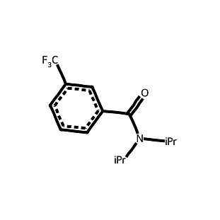 CC(C)N(C(=O)c1cccc(C(F)(F)F)c1)C(C)C